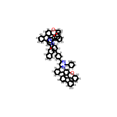 c1ccc(-c2nc(-c3ccc(-c4ccc(-c5cccc6c5-c5ccccc5C65c6ccccc6Oc6ccc(-c7ccccc7-c7cc(-c8ccc9ccccc9c8)nc(-c8ccccc8)n7)cc65)cc4)cc3)cc(-c3ccccc3-c3ccc4c(c3)C3(c5ccccc5O4)c4ccccc4-c4ccccc43)n2)cc1